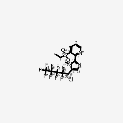 CCS(=O)(=O)c1cccnc1-c1ncc([C@H](Cl)C(F)(F)C(F)(F)C(F)(F)C(F)(F)F)n1C